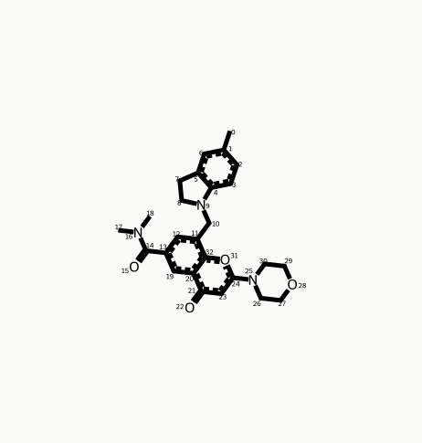 Cc1ccc2c(c1)CCN2Cc1cc(C(=O)N(C)C)cc2c(=O)cc(N3CCOCC3)oc12